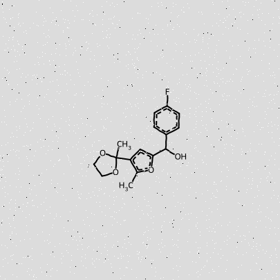 Cc1oc(C(O)c2ccc(F)cc2)cc1C1(C)OCCO1